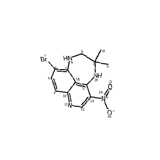 CC1(C)CNc2c(Br)ccc3ncc([N+](=O)[O-])c(c23)N1